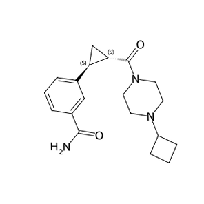 NC(=O)c1cccc([C@H]2C[C@@H]2C(=O)N2CCN(C3CCC3)CC2)c1